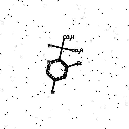 CCc1cc(Br)cnc1C(CC)(C(=O)O)C(=O)O